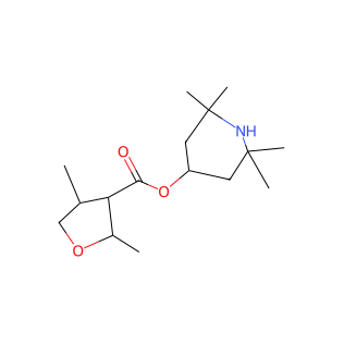 CC1COC(C)C1C(=O)OC1CC(C)(C)NC(C)(C)C1